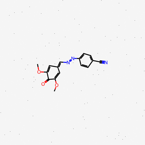 COC1=CC(=CN=Nc2ccc(C#N)cc2)C=C(OC)C1=O